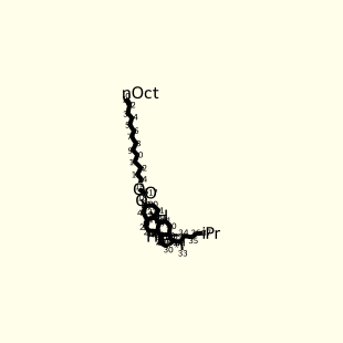 CCCCCCCCC=CCCCCCCCCCCCCOC(=O)O[C@H]1CC[C@@]2(C)C(=CC[C@H]3[C@@H]4CC[C@H]([C@H](C)CCCC(C)C)[C@@]4(C)CC[C@@H]32)C1